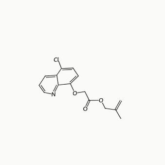 C=C(C)COC(=O)COc1ccc(Cl)c2cccnc12